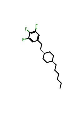 CCCCCC[C@H]1CC[C@H](CCc2cc(F)c(F)c(F)c2)CC1